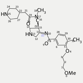 COCCCOc1cc(C(=O)/N=C2\CNC[C@H]2CN(C)C(=O)CC2CCNCC2)ccc1C